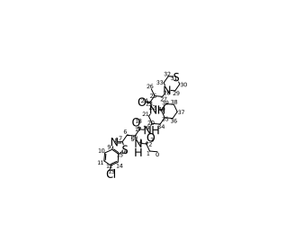 CCC(=O)N[C@@H](Cc1nc2ccc(Cl)cc2s1)C(=O)NC(CNC(=O)C(C)CN1CCSCC1)CC1CCCCC1